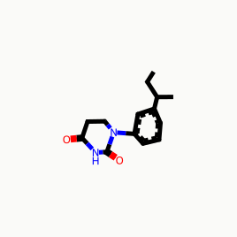 CCC(C)c1cccc(N2CCC(=O)NC2=O)c1